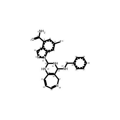 NC(=O)c1cc(F)cc2c1cnn2C1NC2=C(CN=CC=C2)C(NCc2ccccc2)N1